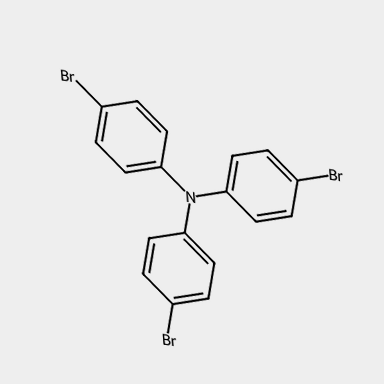 Brc1ccc(N(c2ccc(Br)cc2)c2ccc(Br)cc2)cc1